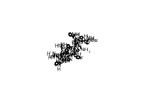 C#CC[C@H](NC(=O)[C@@H](N)[C@@H](C)CC)C(=O)C1CCC[C@H]1C(=O)N[C@@H](Cc1c[nH]c2ccccc12)C(=O)N[C@@H](CCCCN)C(=O)N[C@@H](Cc1c[nH]c2ccccc12)C(=O)N1CCC[C@H]1C(=O)N[C@@H](Cc1ccc(F)cc1)C(=O)N[C@@H](Cc1c[nH]c2ccccc12)C(=O)N1CCC[C@H]1C(=O)N[C@@H](Cc1cc2ccccc2[nH]1)C(=O)N[C@@H](CCCNC(=N)N)C(=O)N[C@@H](CCCNC(=N)N)C(N)=O